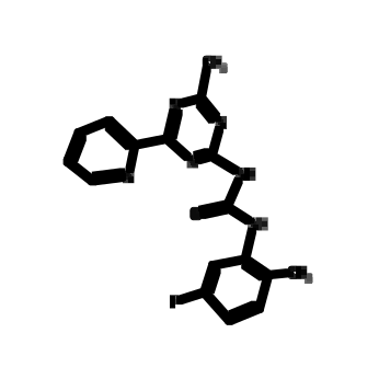 Cc1nc(NC(=O)Nc2cc(F)ccc2C)nc(-c2ccccn2)n1